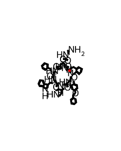 NCCNC(=O)O[C@@H]1C[C@H]2C(=O)N[C@@H](CCc3ccccc3)C(=O)N[C@@H](CCc3c[nH]c4ccccc34)C(=O)N[C@@H](CC3CCNCC3)C(=O)N[C@@H](Cc3ccc(OCc4ccccc4)cc3)C(=O)N3Cc4ccccc4CC[C@H]3C(=O)N2C1